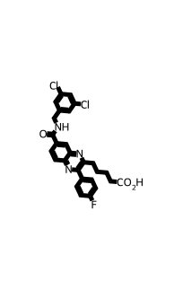 O=C(O)CCCCc1nc2cc(C(=O)NCc3cc(Cl)cc(Cl)c3)ccc2nc1-c1ccc(F)cc1